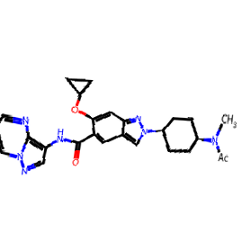 CC(=O)N(C)[C@H]1CC[C@@H](n2cc3cc(C(=O)Nc4cnn5cccnc45)c(OC4CC4)cc3n2)CC1